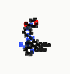 COc1cc2nc(N3CCCN(C(=O)N4CCOCC4)CC3)nc(N)c2c(-c2ccccn2)c1OC